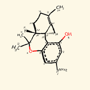 CCCCCc1cc(O)c2c(c1)OC(C)(C)[C@@H]1CCC(C)=C3C[C@]321